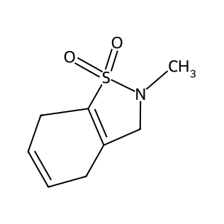 CN1CC2=C(CC=CC2)S1(=O)=O